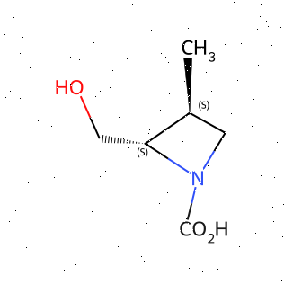 C[C@H]1CN(C(=O)O)[C@@H]1CO